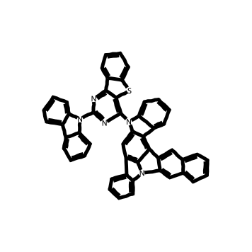 c1ccc2cc3c(cc2c1)c1c2c4ccccc4n(-c4nc(-n5c6ccccc6c6ccccc65)nc5c4sc4ccccc45)c2cc2c4ccccc4n3c21